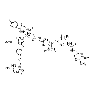 CCCC(=O)N[C@@H](CSCc1cccc(CSC[C@H](NC(=O)CNC(C)=O)C(=O)N[C@@H](Cc2cc3cc(F)ccc3[nH]2)C(=O)NCC(=O)NCC(=O)N[C@H](C(=O)NCC(=O)N[C@@H](CCC)C(=O)NCC(=O)NCC(=O)N[C@@H](CCC)C(N)=O)[C@@H](C)O)c1)C(N)=O